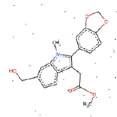 COC(=O)Cc1c(-c2ccc3c(c2)OCO3)n(C)c2cc(CO)ccc12